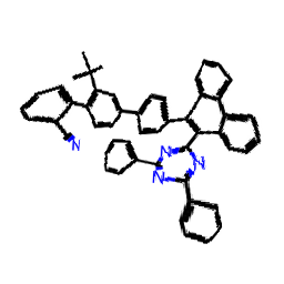 CC(C)(C)c1cc(-c2ccc(-c3c(-c4nc(-c5ccccc5)nc(-c5ccccc5)n4)c4ccccc4c4ccccc34)cc2)ccc1-c1ccccc1C#N